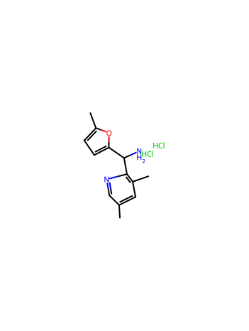 Cc1cnc(C(N)c2ccc(C)o2)c(C)c1.Cl.Cl